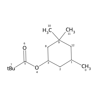 CC1CC(OC(=O)C(C)(C)C)CC(C)(C)C1